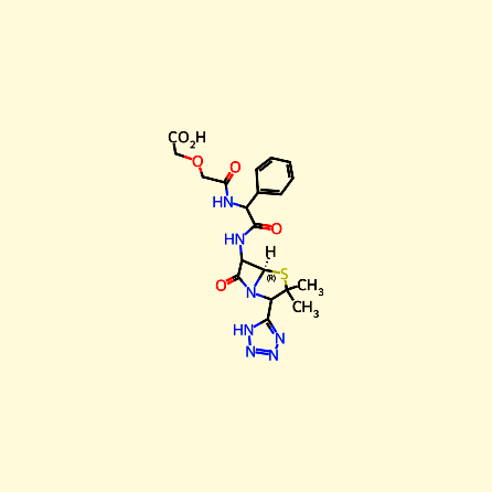 CC1(C)S[C@@H]2C(NC(=O)C(NC(=O)COCC(=O)O)c3ccccc3)C(=O)N2C1c1nnn[nH]1